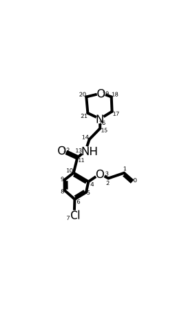 C=CCOc1cc(Cl)ccc1C(=O)NCCN1CCOCC1